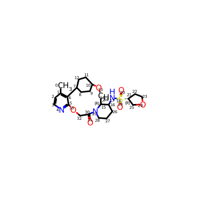 Cc1ccnc2c1C1CCC(CC1)OC[C@H]1C(NS(=O)(=O)[C@@H]3CCOC3)CCCN1C(=O)CO2